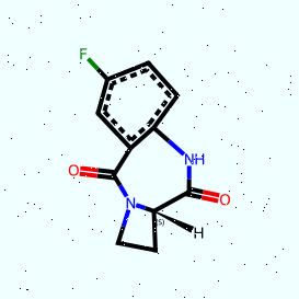 O=C1Nc2ccc(F)cc2C(=O)N2CC[C@@H]12